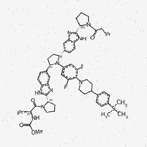 COC(=O)N[C@H](C(=O)N1CCC[C@H]1c1nc2cc([C@H]3CC[C@H](c4ccc5[nH]c([C@@H]6CCCN6C(=O)[CH]C(C)C)nc5c4)N3c3cc(F)c(N4CCC(c5ccc([Si](C)(C)C)cc5)CC4)c(F)c3)ccc2[nH]1)C(C)C